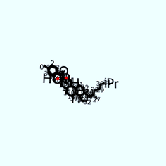 Cc1ccc(S(=O)(=O)OC[C@]23CCC(O)CC2=CC[C@@H]2[C@@H]3CC[C@]3(C)[C@@H]([C@H](C)CCCC(C)C)CC[C@@H]23)cc1